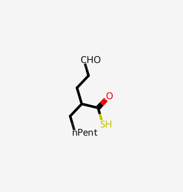 CCCCCCC(CCC=O)C(=O)S